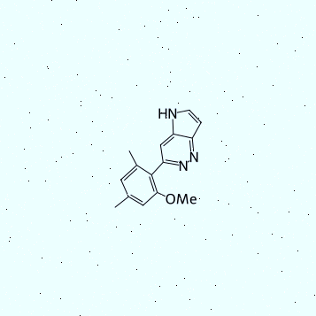 COc1cc(C)cc(C)c1-c1cc2[nH]ccc2nn1